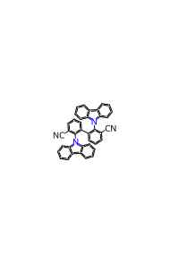 N#Cc1cccc(-c2cccc(C#N)c2-n2c3ccccc3c3ccccc32)c1-n1c2ccccc2c2ccccc21